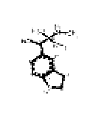 CNC(C)(C)C(O)c1ccc2c(c1)CCS2